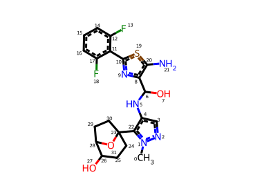 Cn1ncc(NC(O)c2nc(-c3c(F)cccc3F)sc2N)c1C12CCC(O)C(CC1)O2